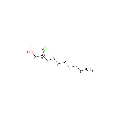 CCCCCCCC[C@H](Cl)CO